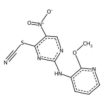 COc1ncccc1Nc1ncc([N+](=O)[O-])c(SC#N)n1